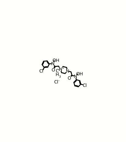 C[N+]1(CC(=O)N(O)c2cccc(Cl)c2)CCN(CC(=O)N(O)c2cccc(Cl)c2)CC1.[Cl-]